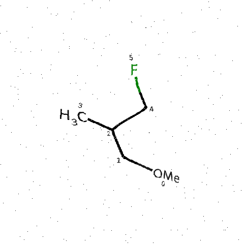 COCC(C)CF